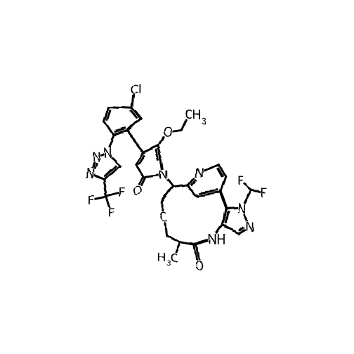 CCOc1cn(C2CCCC(C)C(=O)Nc3cnn(C(F)F)c3-c3ccnc2c3)c(=O)cc1-c1cc(Cl)ccc1-n1cc(C(F)(F)F)nn1